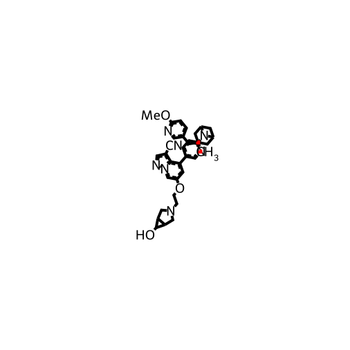 COc1ccc(CC2(C)CC3CC(C2)N3c2ccc(-c3cc(OCCN4CC5C(O)C5C4)cn4ncc(C#N)c34)cn2)cn1